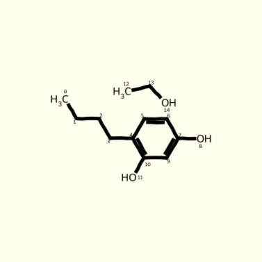 CCCCc1ccc(O)cc1O.CCO